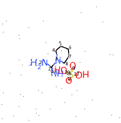 N=C(N)N1CCCCC1.O=S(=O)(O)O